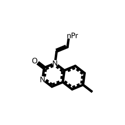 CCCC=Cn1c(=O)ncc2cc(C)ccc21